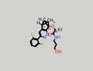 CC[C@@H](O[C@@]12CC[C@@H](c3cc(-c4c(F)cccc4F)nnc31)C2(C)C)C(=O)NCCCO